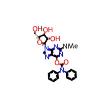 CNc1nc(OC(=O)N(c2ccccc2)c2ccccc2)c2ncn([C@@H]3O[C@H](CO)C(O)[C@@H]3O)c2n1